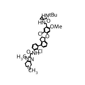 COc1cc(OC2CCc3c(-c4cccc(NC(=O)c5nc6c(n5C)CCN(C)C6)c4Cl)cccc32)c(Cl)cc1CNC1(C(=O)NC(C)(C)C)CC1